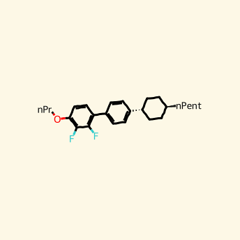 CCCCC[C@H]1CC[C@H](c2ccc(-c3ccc(OCCC)c(F)c3F)cc2)CC1